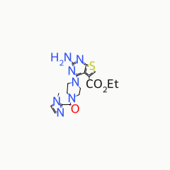 CCOC(=O)c1csc2nc(N)nc(N3CCN(C(=O)c4nccn4C)CC3)c12